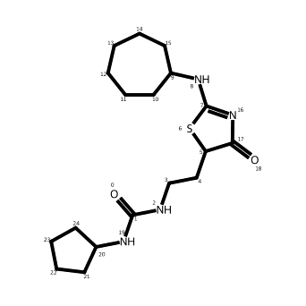 O=C(NCCC1SC(NC2CCCCCC2)=NC1=O)NC1CCCC1